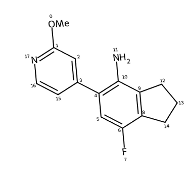 COc1cc(-c2cc(F)c3c(c2N)CCC3)ccn1